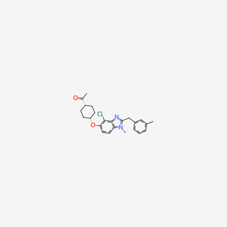 Cc1cccc(Cc2nc3c(Cl)c(O[C@H]4CC[C@@H](C(C)=O)CC4)ccc3n2C)c1